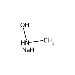 CNO.[NaH]